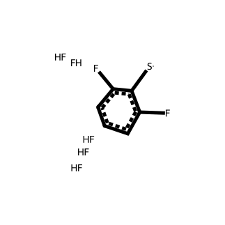 F.F.F.F.F.Fc1cccc(F)c1[S]